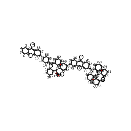 O=c1c2ccccc2oc2cc(-c3ccc(N4c5ccccc5C5(c6ccccc6Oc6cc(-c7ccc8c(=O)c9ccc(N%10c%11ccccc%11C%11(c%12ccccc%12Oc%12ccccc%12%11)c%11ccccc%11%10)cc9oc8c7)ccc65)c5ccccc54)cc3)ccc12